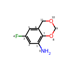 Nc1cc(F)cc2c1OCOC2